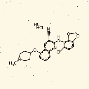 CN1CCC(Oc2cccc3nc(Nc4c(Cl)ccc5c4OCO5)c(C#N)cc23)CC1.Cl.Cl